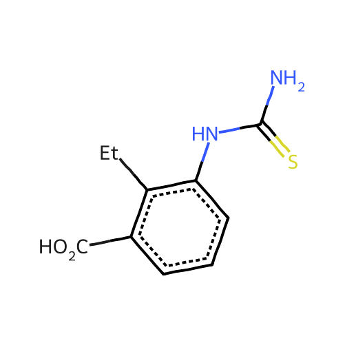 CCc1c(NC(N)=S)cccc1C(=O)O